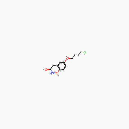 O=C1Cc2cc(OCCCCCl)ccc2ON1